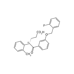 Cc1ccccc1[C@H](CCC(=O)O)C(=O)c1cccc(OCc2ccccc2F)c1